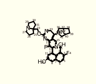 C#Cc1c(F)ccc2cc(O)cc(-c3ncc4c(c3F)=NC(OCC35CCCN3CCC5)=NCC=4N3CC4CCC(C3)N4)c12